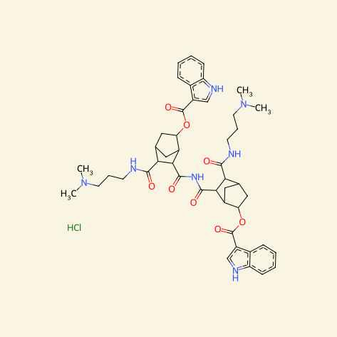 CN(C)CCCNC(=O)C1C2CC(OC(=O)c3c[nH]c4ccccc34)C(C2)C1C(=O)NC(=O)C1C2CC(CC2OC(=O)c2c[nH]c3ccccc23)C1C(=O)NCCCN(C)C.Cl